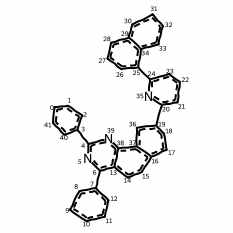 c1ccc(-c2nc(-c3ccccc3)c3ccc4ccc(-c5cccc(-c6cccc7ccccc67)n5)cc4c3n2)cc1